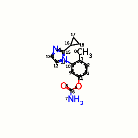 Cc1ccc(OC(N)=O)cc1-n1ccnc1C1CC1